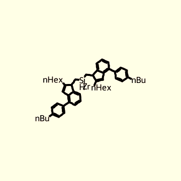 CCCCCCC1=Cc2c(-c3ccc(CCCC)cc3)cccc2C1C[SiH]([Zr])CC1C(CCCCCC)=Cc2c(-c3ccc(CCCC)cc3)cccc21